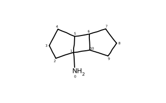 NC12CCCC1C1CCCC12